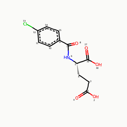 O=C(O)CC[C@H](NC(=O)c1ccc(Cl)cc1)C(=O)O